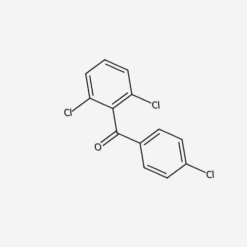 O=C(c1ccc(Cl)cc1)c1c(Cl)cccc1Cl